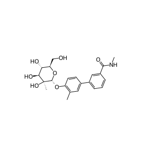 CNC(=O)c1cccc(-c2ccc(O[C@H]3O[C@H](CO)[C@@H](O)[C@H](O)[C@]3(C)O)c(C)c2)c1